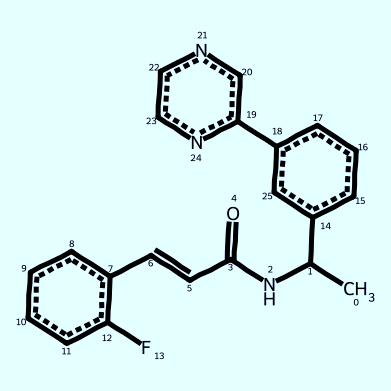 CC(NC(=O)C=Cc1ccccc1F)c1cccc(-c2cnccn2)c1